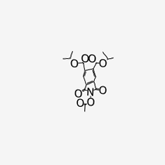 CC(=O)ON1C(=O)c2cc(C(=O)OC(C)C)c(C(=O)OC(C)C)cc2C1=O